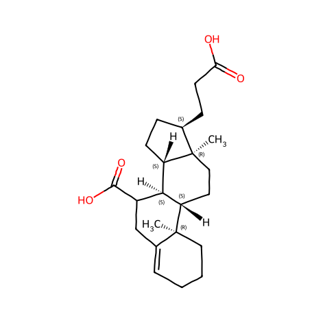 C[C@]12CC[C@H]3[C@@H](C(C(=O)O)CC4=CCCC[C@@]43C)[C@@H]1CC[C@H]2CCC(=O)O